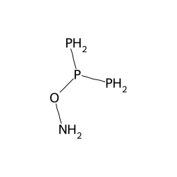 NOP(P)P